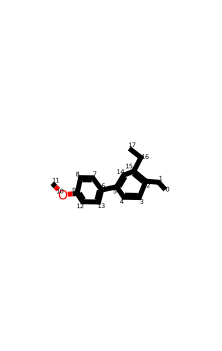 CCc1ccc(-c2ccc(OC)cc2)cc1CC